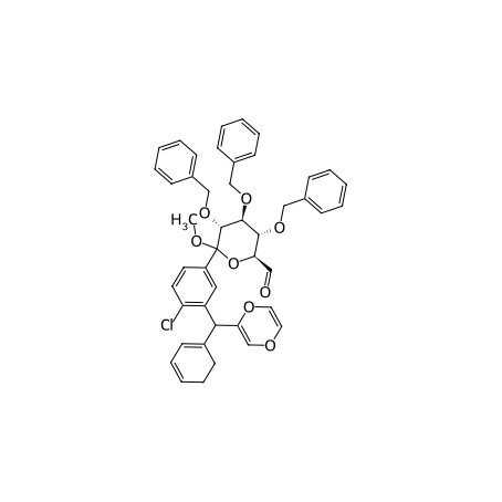 COC1(c2ccc(Cl)c(C(C3=CC=CCC3)C3=COC=CO3)c2)O[C@H](C=O)[C@@H](OCc2ccccc2)[C@H](OCc2ccccc2)[C@H]1OCc1ccccc1